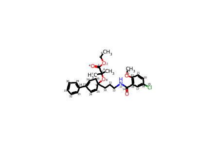 CCOC(=O)C(C)(C)OC1(CCCNC(=O)c2cc(Cl)ccc2OC)C=CC(c2ccccc2)=CC1